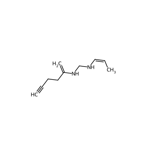 C#CCCC(=C)NCN/C=C\C